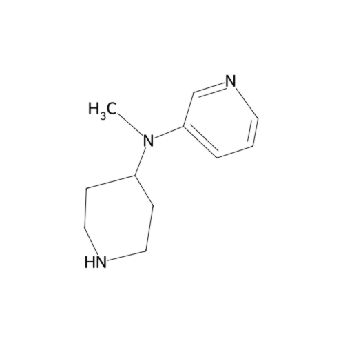 CN(c1cccnc1)C1CCNCC1